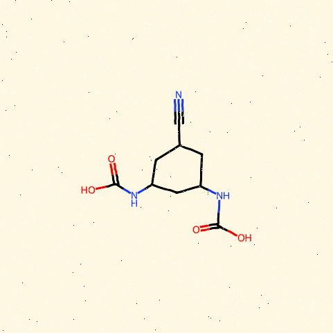 N#CC1CC(NC(=O)O)CC(NC(=O)O)C1